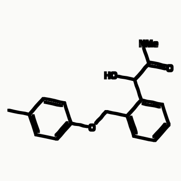 CNC(=O)C(O)c1ccccc1COc1ccc(C)cc1